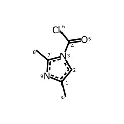 Cc1cn(C(=O)Cl)c(C)n1